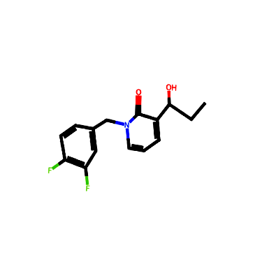 CCC(O)c1cccn(Cc2ccc(F)c(F)c2)c1=O